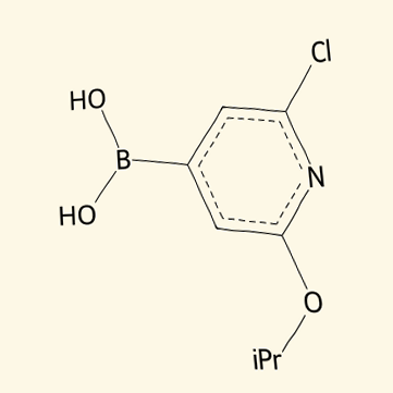 CC(C)Oc1cc(B(O)O)cc(Cl)n1